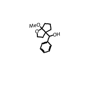 COC12CCCC1(C(O)c1ccccc1)CCO2